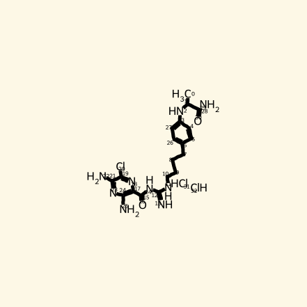 CC(Nc1ccc(CCCCNC(=N)NC(=O)c2nc(Cl)c(N)nc2N)cc1)C(N)=O.Cl.Cl